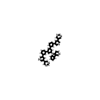 c1cc(-c2cncc(-c3cncnc3)c2)cc(-c2cc(-c3cccc(-c4cncc(-c5cncnc5)c4)c3)cc(-n3c4ccccc4c4cnccc43)c2)c1